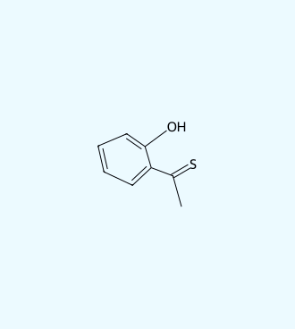 CC(=S)c1ccccc1O